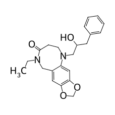 CCN1Cc2cc3c(cc2N(CC(O)Cc2ccccc2)CCC1=O)OCO3